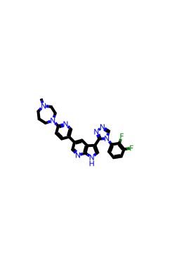 CN1CCCN(c2ccc(-c3cnc4[nH]cc(-c5nncn5-c5cccc(F)c5F)c4c3)cn2)CC1